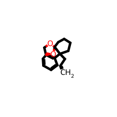 C=CCC1(c2ccccc2)CCCCC12OCCO2